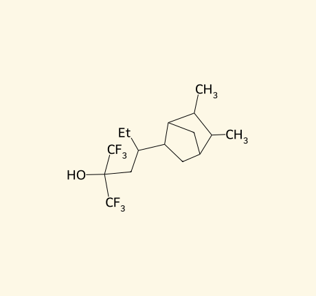 CCC(CC(O)(C(F)(F)F)C(F)(F)F)C1CC2CC1C(C)C2C